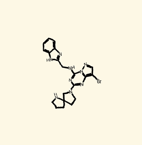 Brc1cnn2c(NCc3nc4ccccc4[nH]3)nc(N3CCC4(CCCN4)C3)nc12